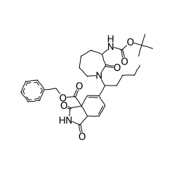 CCCCC(C1=CC2(C(=O)OCc3ccccc3)C(=O)NC(=O)C2C=C1)N1CCCCC(NC(=O)OC(C)(C)C)C1=O